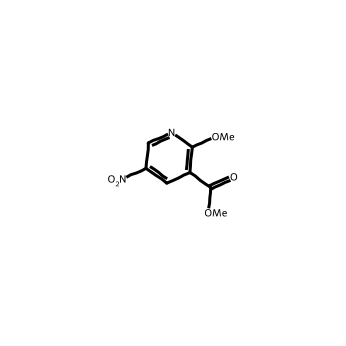 COC(=O)c1cc([N+](=O)[O-])cnc1OC